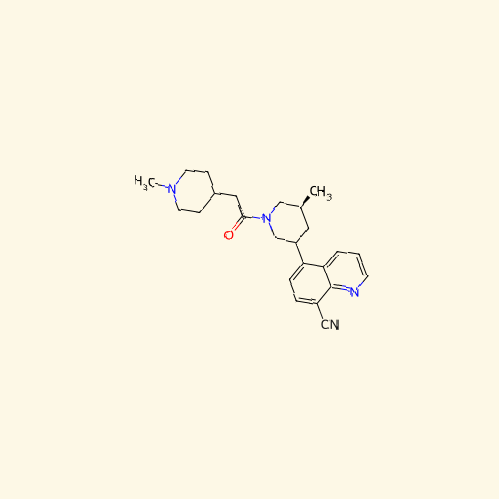 C[C@H]1CC(c2ccc(C#N)c3ncccc23)CN(C(=O)CC2CCN(C)CC2)C1